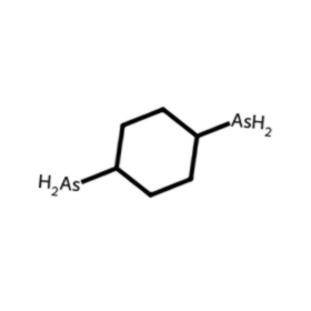 [AsH2]C1CCC([AsH2])CC1